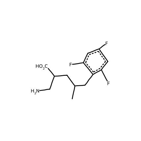 CC(Cc1c(F)cc(F)cc1F)CC(CN)C(=O)O